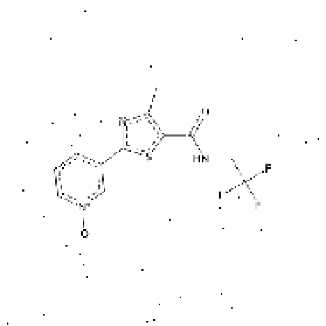 Cc1nc(-c2ccc[n+]([O-])c2)sc1C(=O)NCC(F)(F)F